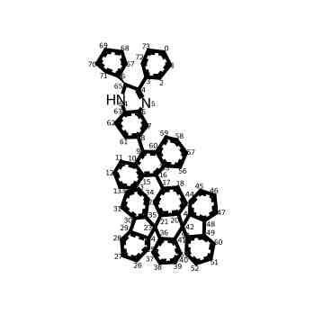 c1ccc(C2=Nc3cc(-c4c5ccccc5c(-c5ccc6c(c5)C5(c7ccccc7-c7ccccc75)c5ccccc5C65c6ccccc6-c6ccccc65)c5ccccc45)ccc3N[C@H]2c2ccccc2)cc1